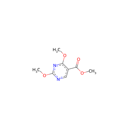 COC(=O)c1cnc(OC)nc1OC